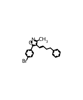 Cc1noc(-c2ccc(Br)cc2)c1/C=C/CCc1ccccc1